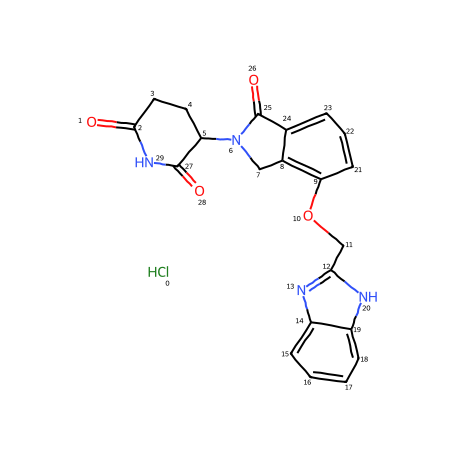 Cl.O=C1CCC(N2Cc3c(OCc4nc5ccccc5[nH]4)cccc3C2=O)C(=O)N1